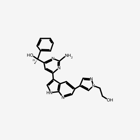 C[C@](O)(c1ccccc1)c1cc(-c2c[nH]c3ncc(-c4cnn(CCO)c4)cc23)nc(N)n1